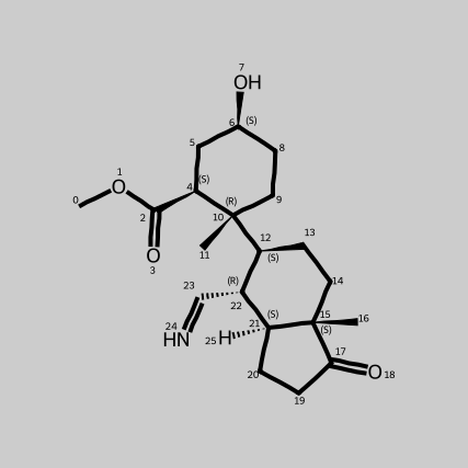 COC(=O)[C@H]1C[C@@H](O)CC[C@]1(C)[C@H]1CC[C@]2(C)C(=O)CC[C@H]2[C@@H]1C=N